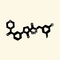 O=C(c1cccc(N2CC[C@](O)(C(=O)NCc3cc(F)cc(Cl)c3)C2=O)c1)N1CCOCC1